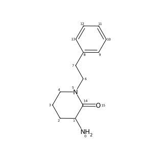 NC1CCCN(CCc2ccccc2)C1=O